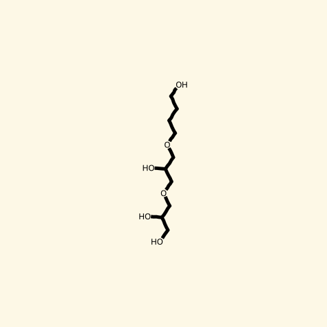 OCCCCOCC(O)COCC(O)CO